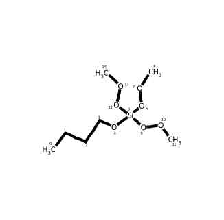 CCCCO[Si](OOC)(OOC)OOC